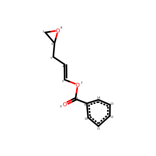 O=C(OC=CCC1CO1)c1ccccc1